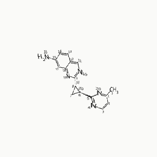 Cc1ccnc([C@H]2C[C@@H]2c2ncc3ccc(N)cc3n2)n1